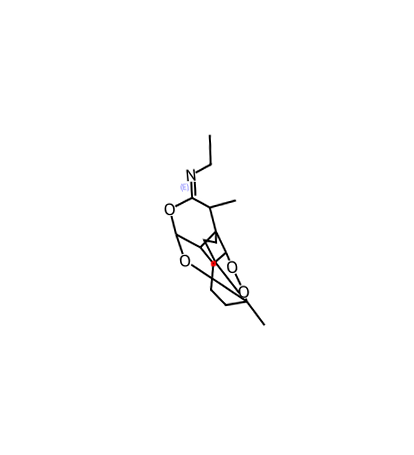 CC/N=C1/OC2OC3(C)CCC45C(C)CCC(C1C)(C4OO3)C25